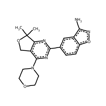 CC1(C)OCc2c(N3CCOCC3)nc(-c3ccc4onc(N)c4c3)nc21